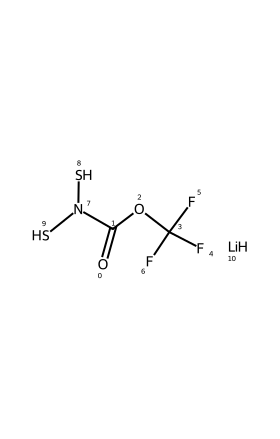 O=C(OC(F)(F)F)N(S)S.[LiH]